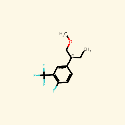 CC[C@H](COC)c1ccc(F)c(C(F)(F)F)c1